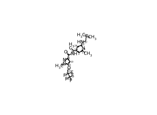 Cc1cc(C(C)NC(=O)c2cc(OCC(F)(F)C(F)(F)F)n(C)n2)cc(NCC(C)C)n1